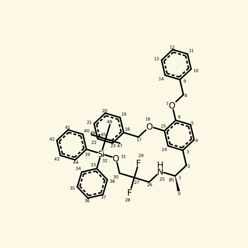 C[C@H](Cc1ccc(OCc2ccccc2)c(OCc2ccccc2)c1)NCC(F)(F)CO[Si](c1ccccc1)(c1ccccc1)C(C)(C)C